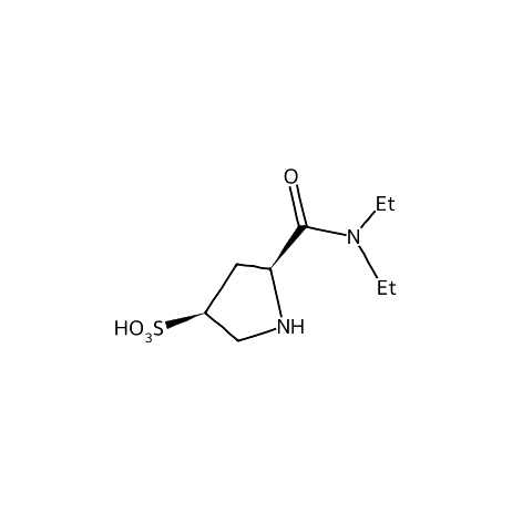 CCN(CC)C(=O)[C@@H]1C[C@H](S(=O)(=O)O)CN1